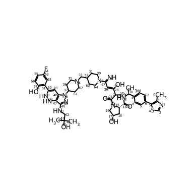 Cc1ncsc1-c1ccc([C@H](C)NC(=O)[C@@H]2C[C@@H](O)CN2C(=O)C(/C(O)=C/C(=N)N2CCC(CN3CCC(n4nc(NCC(C)(C)O)c5c4C=C(c4cc(F)ccc4O)NN5)CC3)CC2)C(C)C)cc1